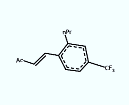 CCCc1cc(C(F)(F)F)ccc1/C=C/C(C)=O